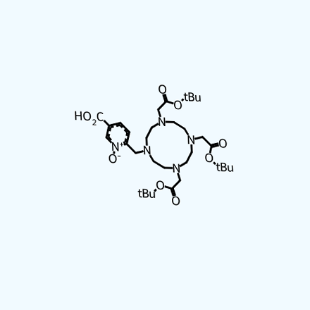 CC(C)(C)OC(=O)CN1CCN(CC(=O)OC(C)(C)C)CCN(Cc2ccc(C(=O)O)c[n+]2[O-])CCN(CC(=O)OC(C)(C)C)CC1